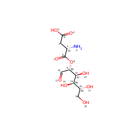 N[C@@H](CC(=O)O)C(=O)O[C@@H](C=O)[C@@H](O)[C@H](O)[C@H](O)CO